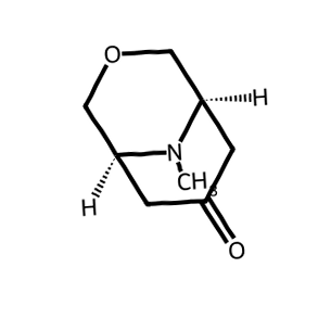 CN1[C@@H]2COC[C@H]1CC(=O)C2